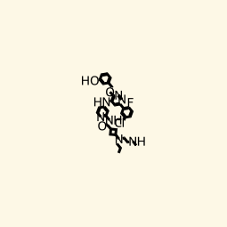 CCCN(CCNC)C1CC(C(=O)Nc2cc(Nc3cc(-c4cc(Cl)ccc4F)nnc3OCc3cccc(O)c3)ccn2)C1